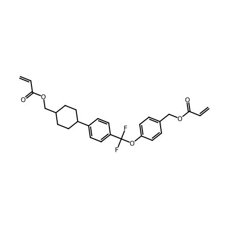 C=CC(=O)OCc1ccc(OC(F)(F)c2ccc(C3CCC(COC(=O)C=C)CC3)cc2)cc1